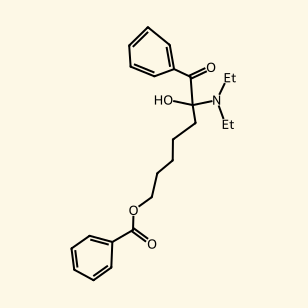 CCN(CC)C(O)(CCCCCOC(=O)c1ccccc1)C(=O)c1ccccc1